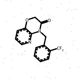 O=C1COc2cccnc2N1Cc1ccccc1C(F)(F)F